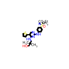 CCOC(=O)N=S(C)(=O)c1ccc(Nc2ncc(-c3cccs3)c(NCC(C)(C)CO)n2)cc1